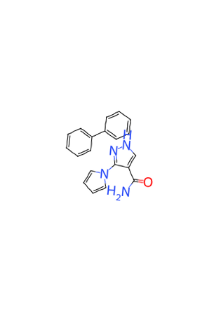 NC(=O)c1c[nH]nc1-n1cccc1.c1ccc(-c2ccccc2)cc1